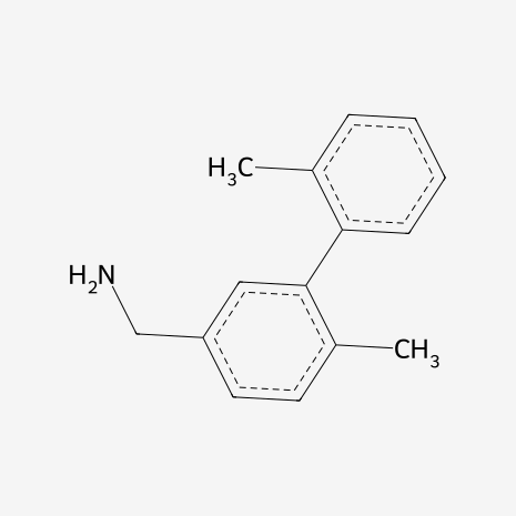 Cc1ccccc1-c1cc(CN)ccc1C